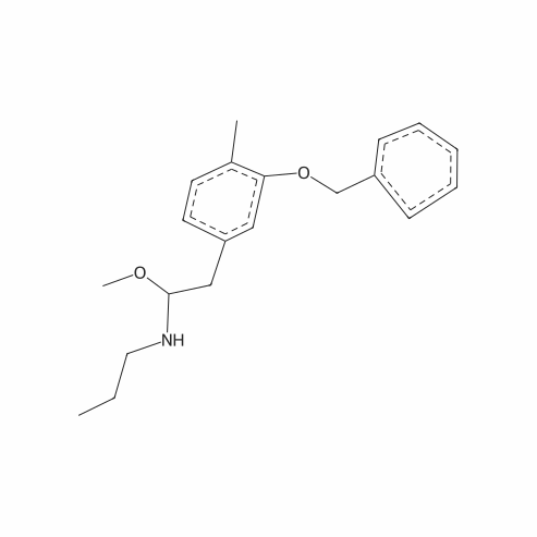 CCCNC(Cc1ccc(C)c(OCc2ccccc2)c1)OC